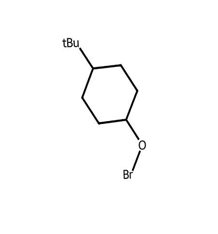 CC(C)(C)C1CCC(OBr)CC1